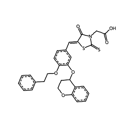 O=C(O)CN1C(=O)C(=Cc2ccc(OCCc3ccccc3)c(OC3CCOc4ccccc43)c2)SC1=S